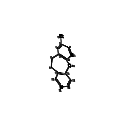 CCc1cnc2c(c1)CCc1cnccc1O2